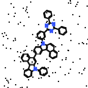 c1ccc(-c2nc(-c3ccccc3)nc(-c3cccc(-n4c5ccc(-c6cc7c(c8ccccc68)c6ccccc6n7-c6ccccc6)cc5c5c6ccccc6ccc54)c3)n2)cc1